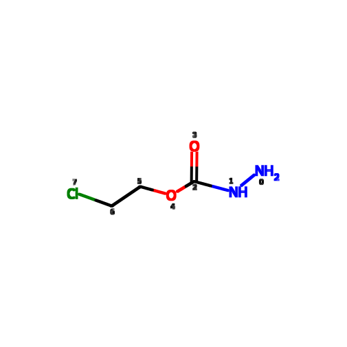 NNC(=O)OCCCl